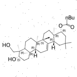 CCCCC(=O)O[C@@H]1CC(C)(C)C[C@@H]2C3=CC[C@@H]4[C@@]5(C)CC[C@H](O)[C@@](C)(CO)C5CC[C@@]4(C)[C@]3(C)CC[C@]21C